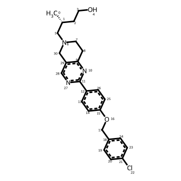 C[C@H](CCO)CN1CCc2nc(-c3ccc(OCc4ccc(Cl)cc4)cc3)ncc2C1